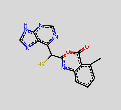 Cc1cccc2nc(C(S)c3ncnc4[nH]cnc34)oc(=O)c12